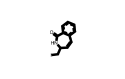 O=C1NC(CI)C=Cc2ccccc21